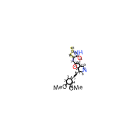 COc1ccc(C#Cc2cncc3cc(/C=C4/SC(=S)NC4=O)oc23)cc1OC